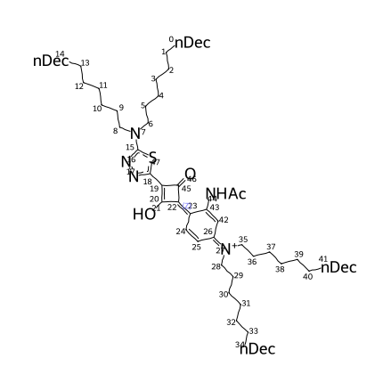 CCCCCCCCCCCCCCCCN(CCCCCCCCCCCCCCCC)c1nnc(C2=C(O)/C(=C3\C=CC(=[N+](CCCCCCCCCCCCCCCC)CCCCCCCCCCCCCCCC)C=C3NC(C)=O)C2=O)s1